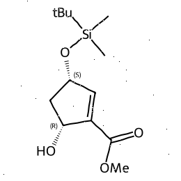 COC(=O)C1=C[C@@H](O[Si](C)(C)C(C)(C)C)C[C@H]1O